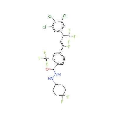 O=C(NNC1CCC(F)(F)CC1)c1ccc(/C(F)=C/C(c2cc(Cl)c(Cl)c(Cl)c2)C(F)(F)F)cc1C(F)(F)F